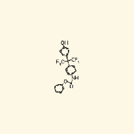 O=C(Nc1ccc(C(c2ccc(O)cc2)(C(F)(F)F)C(F)(F)F)cc1)Oc1ccccc1